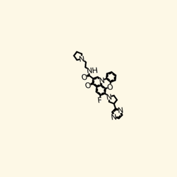 O=C(NCCN1CCCC1)c1cn2c3c(c(N4CCC(c5cnccn5)C4)c(F)cc3c1=O)Oc1ccccc1-2